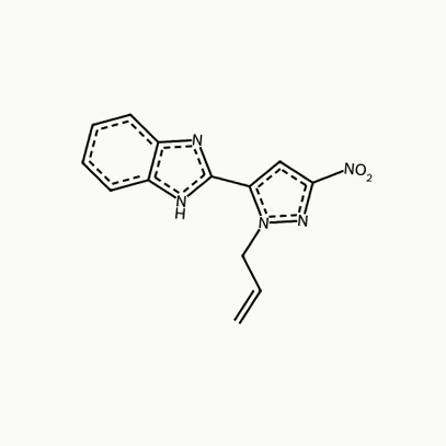 C=CCn1nc([N+](=O)[O-])cc1-c1nc2ccccc2[nH]1